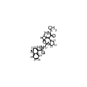 CCNC(=O)C(=C1CCC1)C1CCCN1C(=O)CNC(=O)c1ccnc2ccccc12